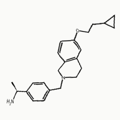 C[C@H](N)c1ccc(CN2CCc3cc(OCCC4CC4)ccc3C2)cc1